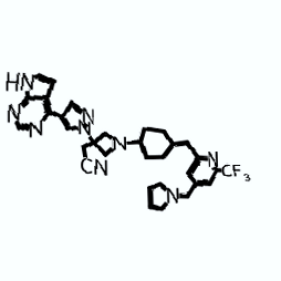 N#CCC1(n2cc(-c3ncnc4[nH]ccc34)cn2)CN(C2CCC(Cc3cc(CN4CCCC4)cc(C(F)(F)F)n3)CC2)C1